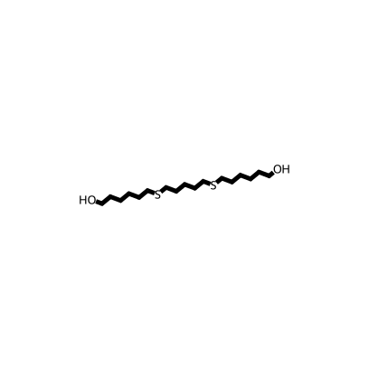 OCCCCCCSCCCCCSCCCCCCO